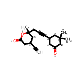 C#CC1CC(=O)OC(C)(CC#CC2CC(=O)CC(C)(C)C2)C1